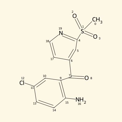 CS(=O)(=O)c1cc(C(=O)c2cc(Cl)ccc2N)ccn1